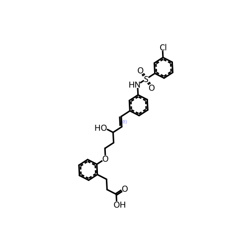 O=C(O)CCc1ccccc1OCCC(O)/C=C/c1cccc(NS(=O)(=O)c2cccc(Cl)c2)c1